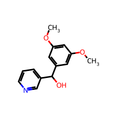 COc1cc(OC)cc(C(O)c2cccnc2)c1